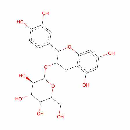 OC[C@H]1OC(OC2Cc3c(O)cc(O)cc3OC2c2ccc(O)c(O)c2)[C@H](O)[C@@H](O)[C@H]1O